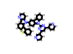 c1cncc(-c2cc(-c3cccnc3)nc(-n3c4ccccc4c4cc(-n5c6cccnc6c6ccc7sc8ccccc8c7c65)ccc43)n2)c1